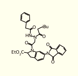 CCOC(=O)C1Cc2ccc(N3C(=O)c4ccccc4C3=O)cc2N1C(=O)CN(NC(=O)Cc1ccccc1)C(=O)CC(C)CC